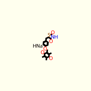 CC1=C(C)C(=O)C(COc2ccc(CC3SC(=O)NC3=O)cc2)=C(C)C1=O.[NaH]